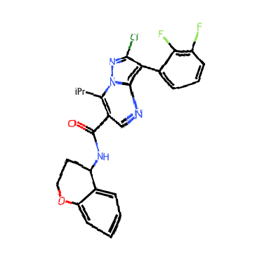 CC(C)c1c(C(=O)NC2CCOc3ccccc32)cnc2c(-c3cccc(F)c3F)c(Cl)nn12